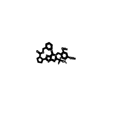 COc1ccc(Cn2c(C(C)(F)F)nc3sc(C4CCCN4C(=O)OCc4ccccc4)nc3c2=O)c(OC)c1